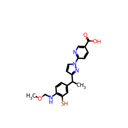 COCNc1ccc(C(C)c2ccn(-c3ccc(C(=O)O)cn3)n2)cc1S